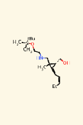 CC/C=C\C=C1/[C@@H](CO)C1(C)CNCCO[Si](C)(C)C(C)(C)C